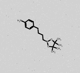 CC1(C)OB(CCCCc2ccc(N)cc2)OC1(C)C